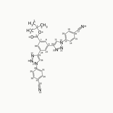 CC(C)(C)OC(=O)c1cc(-c2cn(-c3ccc(C#N)cc3)nn2)cc(-c2cn(-c3ccc(C#N)cc3)nn2)c1